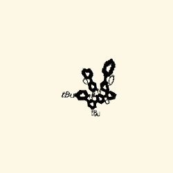 CC(C)(C)c1ccc2c(c1)c1cc(C(C)(C)C)cc3c1n2B1c2cc4oc5ccccc5c4cc2N(c2ccc4oc5ccccc5c4c2)c2c1c-3cc1oc3ccccc3c21